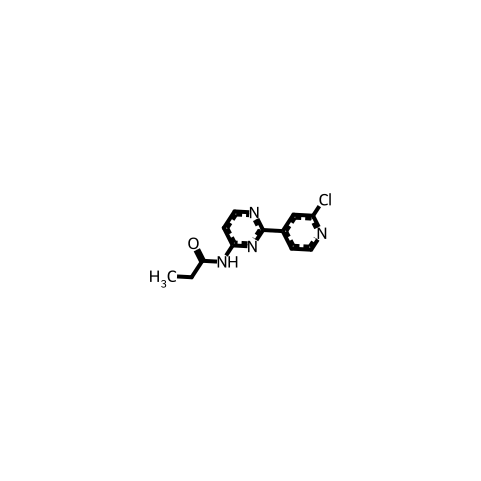 CCC(=O)Nc1ccnc(-c2ccnc(Cl)c2)n1